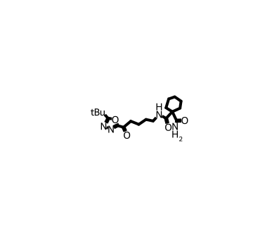 CC(C)(C)c1nnc(C(=O)CCCCNC(=O)C2(C(N)=O)CCCCC2)o1